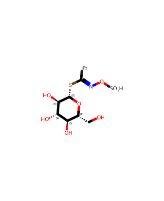 CC(C)C(=NOS(=O)(=O)O)S[C@@H]1O[C@H](CO)[C@@H](O)[C@H](O)[C@H]1O